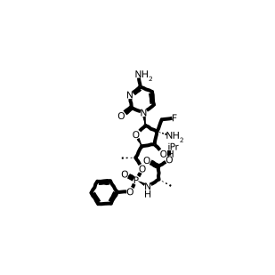 CC(C)OC(=O)[C@H](C)N[P@](=O)(Oc1ccccc1)O[C@H](C)[C@H]1O[C@@H](n2ccc(N)nc2=O)[C@@](N)(CF)C1O